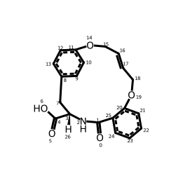 O=C1N[C@H](C(=O)O)Cc2ccc(cc2)OC/C=C/COc2ccccc21